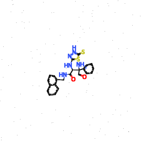 NC(C=O)(c1ccccc1)C(Nc1n[nH]c(=S)s1)C(=O)NCc1cccc2ccccc12